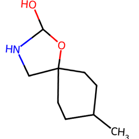 CC1CCC2(CC1)CNC(O)O2